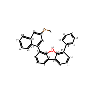 CSc1cc(-c2cccc3c2oc2c(-c4ccccc4)cccc23)c2ccccc2c1